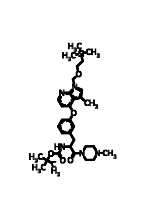 Cc1cn(COCC[Si](C)(C)C)c2nccc(Oc3cccc(CC(NC(=O)OC(C)(C)C)C(=O)N4CCN(C)CC4)c3)c12